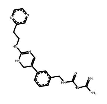 N=C(N)NC(=O)NCc1cccc(C2=CN=C(NCCc3cnccn3)NC2)c1